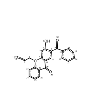 C=CCOc1cc(O)c(C(=O)c2ccccc2)cc1C(=O)c1ccccc1